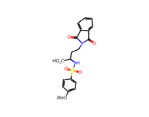 COc1ccc(S(=O)(=O)NC(CCN2C(=O)c3ccccc3C2=O)C(=O)O)cc1